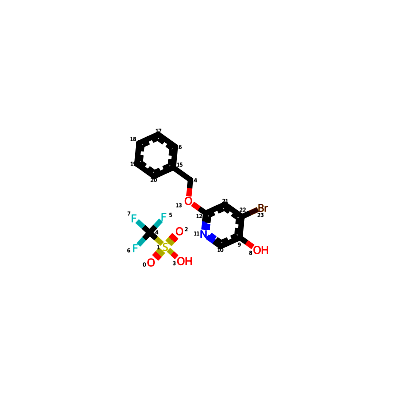 O=S(=O)(O)C(F)(F)F.Oc1cnc(OCc2ccccc2)cc1Br